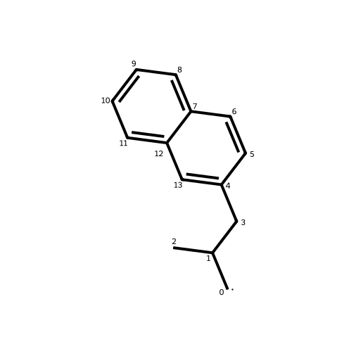 [CH2]C(C)Cc1ccc2ccccc2c1